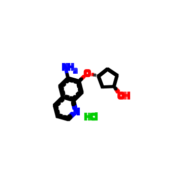 Cl.Nc1cc2cccnc2cc1O[C@@H]1CC[C@@H](O)C1